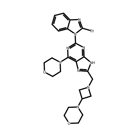 CCc1nc2ccccc2n1-c1nc(N2CCOCC2)c2nc(CN3CC(N4CCOCC4)C3)[nH]c2n1